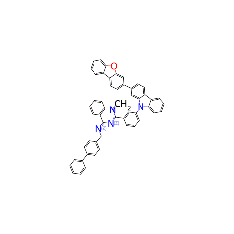 C=N/C(=N\C(=N/Cc1ccc(-c2ccccc2)cc1)c1ccccc1)c1cccc(-n2c3ccccc3c3ccc(-c4ccc5c(c4)oc4ccccc45)cc32)c1